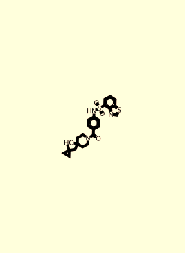 CC1(CC2(O)CCN(C(=O)c3ccc(NS(=O)(=O)c4cccc5scnc45)cc3)CC2)CC1